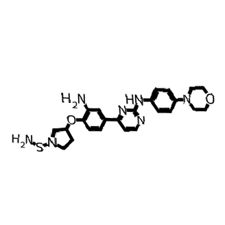 NSN1CCC(Oc2ccc(-c3ccnc(Nc4ccc(N5CCOCC5)cc4)n3)cc2N)C1